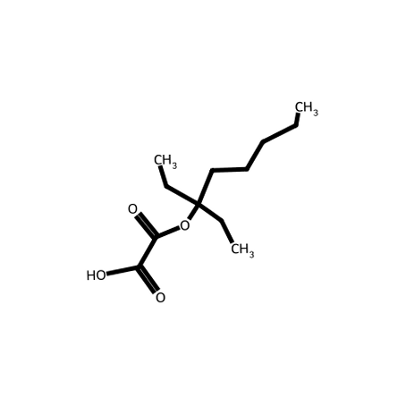 CCCCCC(CC)(CC)OC(=O)C(=O)O